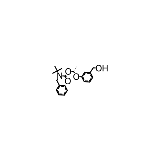 C[C@@H](OC(=O)N(Cc1ccccc1)C(C)(C)C)Oc1cccc(CO)c1